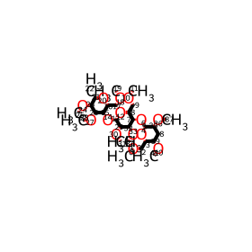 COCC1O[C@H](O[C@@H]2C(COC)O[C@H](O[C@@H]3C(COC)O[C@H](C)C(OC)[C@@H]3OC)C(OC)[C@@H]2OC)C(OC)C[C@@H]1OC